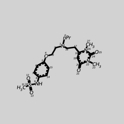 CCCN(CCOc1ccc(NS(C)(=O)=O)cc1)CCc1cc(=O)n(C)c(=O)n1C